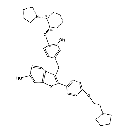 Oc1ccc2c(Cc3ccc(O[C@@H]4CCCC[C@H]4N4CCCC4)c(O)c3)c(-c3ccc(OCCN4CCCC4)cc3)sc2c1